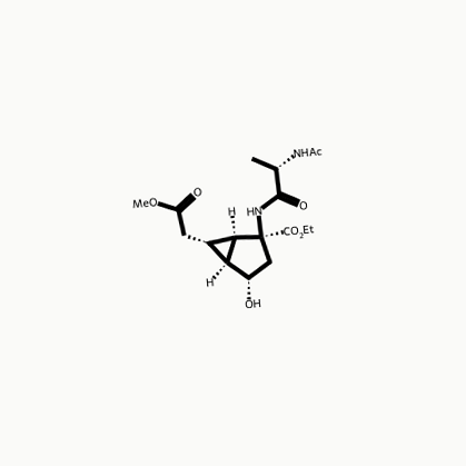 CCOC(=O)[C@]1(NC(=O)[C@H](C)NC(C)=O)C[C@H](O)[C@H]2[C@H](CC(=O)OC)[C@H]21